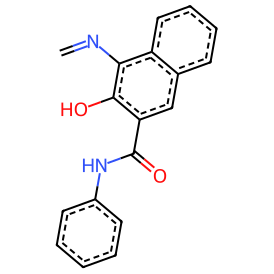 C=Nc1c(O)c(C(=O)Nc2ccccc2)cc2ccccc12